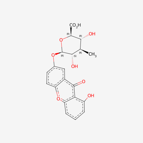 C[C@H]1[C@H](O)[C@@H](Oc2ccc3oc4cccc(O)c4c(=O)c3c2)O[C@@H](C(=O)O)[C@@H]1O